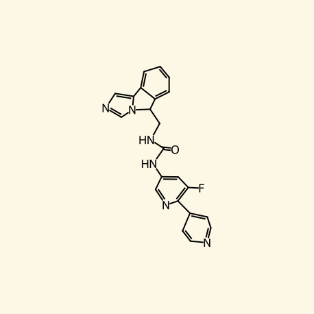 O=C(NCC1c2ccccc2-c2cncn21)Nc1cnc(-c2ccncc2)c(F)c1